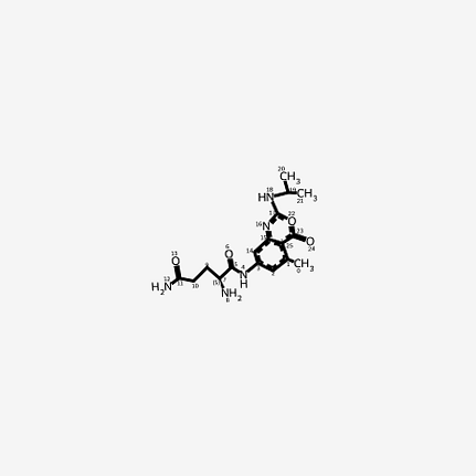 Cc1cc(NC(=O)[C@@H](N)CCC(N)=O)cc2nc(NC(C)C)oc(=O)c12